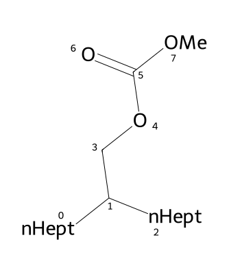 CCCCCCCC(CCCCCCC)COC(=O)OC